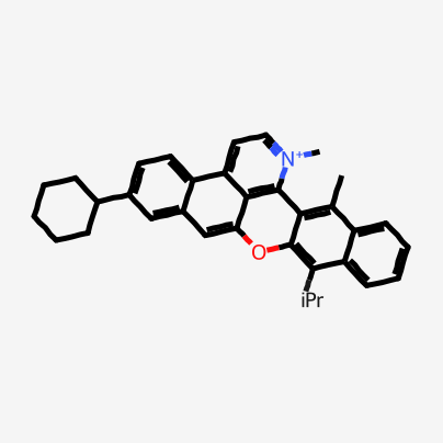 Cc1c2c(c(C(C)C)c3ccccc13)Oc1cc3cc(C4CCCCC4)ccc3c3cc[n+](C)c-2c13